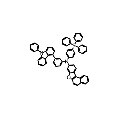 c1ccc(-n2c3ccccc3c3c(-c4cccc(N(c5ccc([Si](c6ccccc6)(c6ccccc6)c6ccccc6)cc5)c5ccc6c(c5)oc5ccc7ccccc7c56)c4)cccc32)cc1